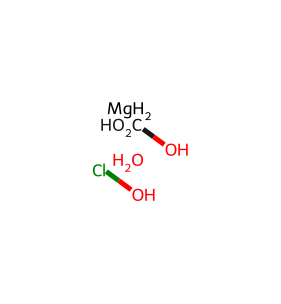 O.O=C(O)O.OCl.[MgH2]